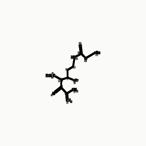 C=C(C)C(=O)N(C(=O)OCC)C(CCC)CCNC(=O)OCCCC